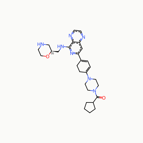 O=C(C1CCCC1)N1CCN(C2=CC=C(c3cc4nccnc4c(NC[C@@H]4CNCCO4)n3)CC2)CC1